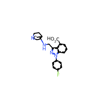 O=C(O)c1cccc2c1c(CNC1CN3CCC1CC3)nn2-c1ccc(F)cc1